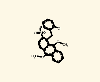 COc1c2ccccc2c(OC)c2c(Cc3ccccc3Cl)c(S(=O)(=O)O)ccc12